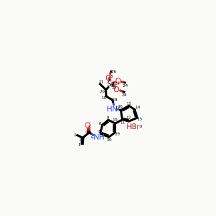 Br.C=C(C)C(=O)Nc1ccc(-c2ccccc2NCCC(C)[Si](OC)(OC)OC)cc1